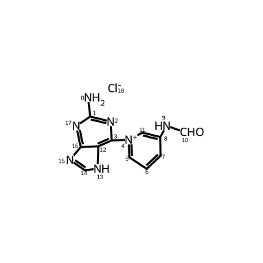 Nc1nc(-[n+]2cccc(NC=O)c2)c2[nH]cnc2n1.[Cl-]